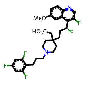 COc1ccc2ncc(F)c([C@@H](F)CCC3(CC(=O)O)CCN(CCCc4c(F)cc(F)cc4F)CC3)c2c1